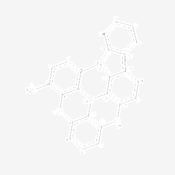 N#Cc1ccc2c3c1Oc1cccc4c1B3c1c(ccc3c5ccccc5n-2c13)O4